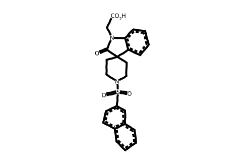 O=C(O)CN1C(=O)C2(CCN(S(=O)(=O)c3ccc4ccccc4c3)CC2)c2ccccc21